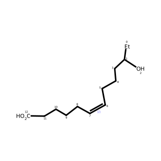 CCC(O)CCC/C=C\CCCCC(=O)O